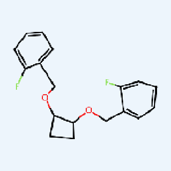 Fc1ccccc1COC1CCC1OCc1ccccc1F